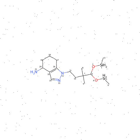 C[SiH2]OC(O[SiH2]C)C(C)(C)CCn1ncc2c1CCCC2N